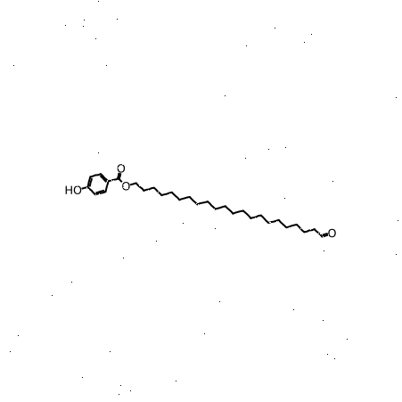 O=CCCCCCCCCCCCCCCCCCCCCCOC(=O)c1ccc(O)cc1